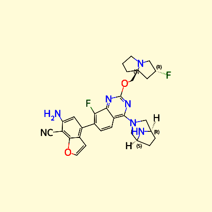 N#Cc1c(N)cc(-c2ccc3c(N4C[C@H]5CC[C@@H](C4)N5)nc(OC[C@@]45CCCN4C[C@H](F)C5)nc3c2F)c2ccoc12